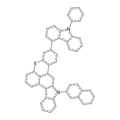 c1ccc(-n2c3ccccc3c3c(-c4ccc5c(c4)Sc4cccc6c4c-5cc4c6c5ccccc5n4-c4ccc5ccccc5c4)cccc32)cc1